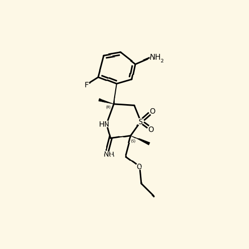 CCOC[C@]1(C)C(=N)N[C@](C)(c2cc(N)ccc2F)CS1(=O)=O